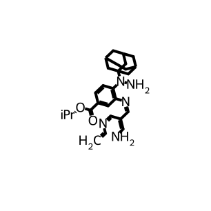 C=C\N=C/C(/C=N\c1cc(C(=O)OC(C)C)ccc1N(N)C12CC3CC(CC(C3)C1)C2)=C\N